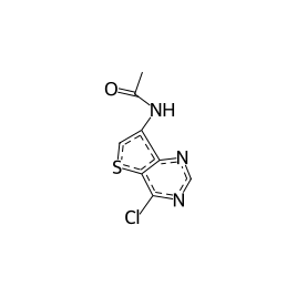 CC(=O)Nc1csc2c(Cl)ncnc12